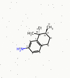 CC[C@@]1(C)c2cc(N)ccc2CC[C@@H]1C